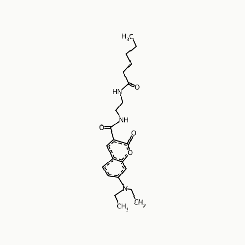 CCCCCC(=O)NCCNC(=O)c1cc2ccc(N(CC)CC)cc2oc1=O